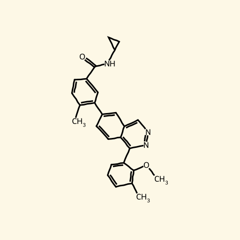 COc1c(C)cccc1-c1nncc2cc(-c3cc(C(=O)NC4CC4)ccc3C)ccc12